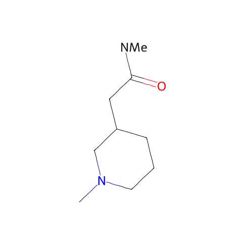 CNC(=O)CC1CCCN(C)C1